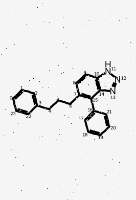 c1ccc(CCCc2ccc3[nH]nnc3c2-c2ccccc2)cc1